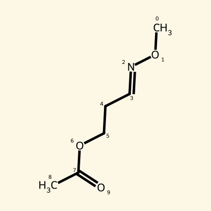 CON=CCCOC(C)=O